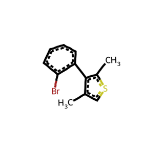 Cc1csc(C)c1-c1ccccc1Br